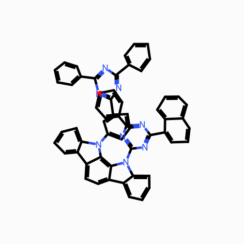 c1ccc(-c2nc(-c3ccccc3)nc(-c3cccc(-n4c5ccccc5c5ccc6c7ccccc7n(-c7nc(-c8ccccc8)nc(-c8cccc9ccccc89)n7)c6c54)c3)n2)cc1